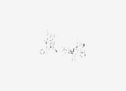 CC(=O)CNC(=O)C(CC(C)C)NC(=O)C(Cc1ccccc1)NC(=O)CNC(=O)CCC(N)C(=O)NCC(=O)NC(Cc1ccccc1)C(=O)NC(CC(C)C)C(=O)NCC(C)=O